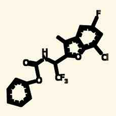 Cc1c(C(NC(=O)Oc2ccccc2)C(F)(F)F)oc2c(Cl)cc(F)cc12